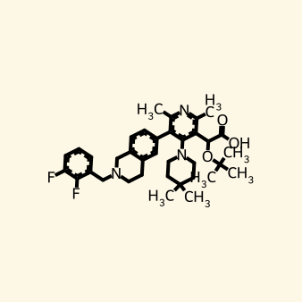 Cc1nc(C)c(C(OC(C)(C)C)C(=O)O)c(N2CCC(C)(C)CC2)c1-c1ccc2c(c1)CCN(Cc1cccc(F)c1F)C2